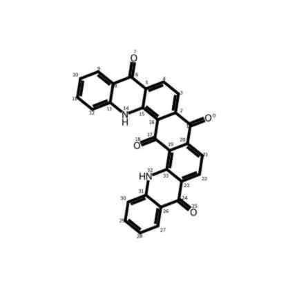 O=C1c2ccc3c(=O)c4ccccc4[nH]c3c2C(=O)c2c1ccc1c(=O)c3ccccc3[nH]c21